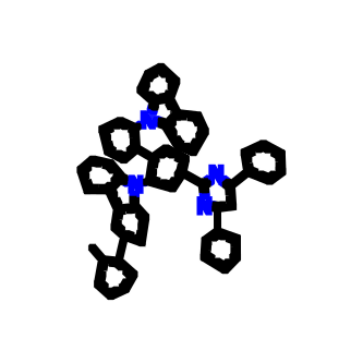 Cc1ccccc1-c1ccc2c(c1)c1ccccc1n2-c1cc(-c2nc(-c3ccccc3)cc(-c3ccccc3)n2)ccc1-c1ccccc1-n1c2ccccc2c2ccccc21